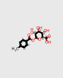 Cc1ccc(C(=O)O[C@@H]2O[C@H](C(=O)O)[C@@H](O)[C@H](O)[C@H]2O)cc1